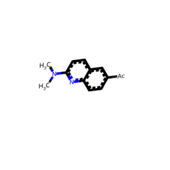 CC(=O)c1ccc2nc(N(C)C)ccc2c1